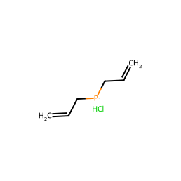 C=CC[P]CC=C.Cl